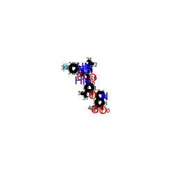 COc1cc2nccc(Oc3ccc(NC(=O)/C(=C/NC(C)C)C(=O)Nc4ccc(F)cc4)cc3C(C)C)c2cc1OC